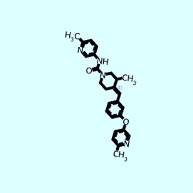 Cc1ccc(NC(=O)N2CC/C(=C\c3cccc(Oc4ccc(C)nc4)c3)C(C)C2)cn1